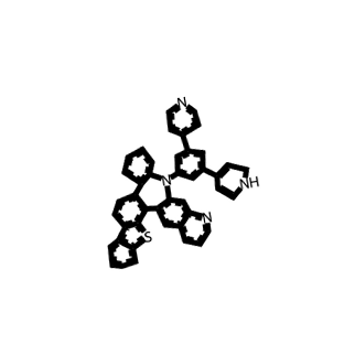 C1=CC(c2cc(-c3ccncc3)cc(N3c4ccccc4-c4ccc5c(sc6ccccc65)c4-c4cc5cccnc5cc43)c2)=CCN1